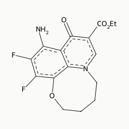 CCOC(=O)c1cn2c3c(c(F)c(F)c(N)c3c1=O)OCCCC2